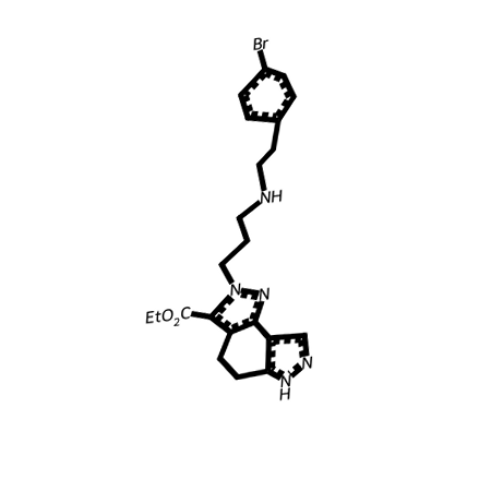 CCOC(=O)c1c2c(nn1CCCNCCc1ccc(Br)cc1)-c1cn[nH]c1CC2